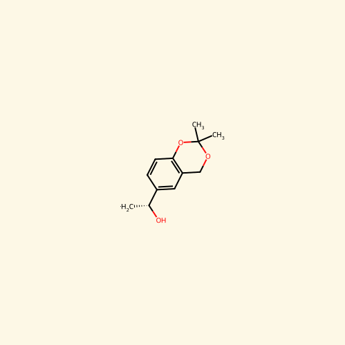 [CH2][C@@H](O)c1ccc2c(c1)COC(C)(C)O2